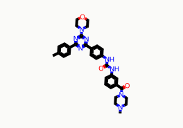 Cc1ccc(-c2nc(-c3ccc(NC(=O)Nc4cccc(C(=O)N5CCN(C)CC5)c4)cc3)nc(N3CCOCC3)n2)cc1